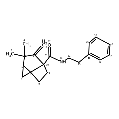 C=C1C(C)(C)C2CC23CCC13C(=O)NCCc1ccccc1